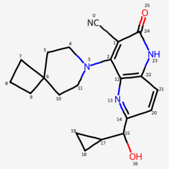 N#Cc1c(N2CCC3(CCC3)CC2)c2nc(C(O)C3CC3)ccc2[nH]c1=O